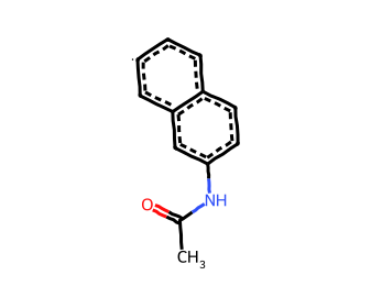 CC(=O)Nc1ccc2cc[c]cc2c1